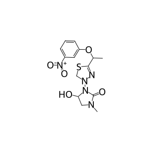 CC(Oc1cccc([N+](=O)[O-])c1)C1=NN(N2C(=O)N(C)CC2O)CS1